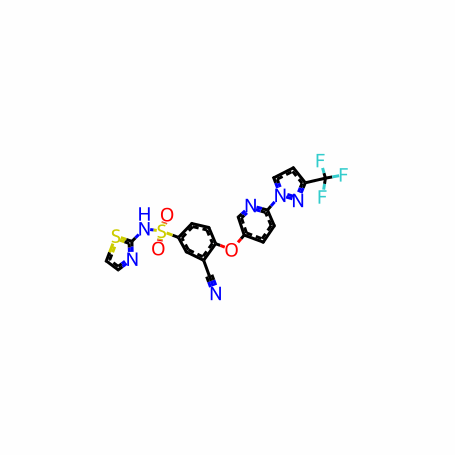 N#Cc1cc(S(=O)(=O)Nc2nccs2)ccc1Oc1ccc(-n2ccc(C(F)(F)F)n2)nc1